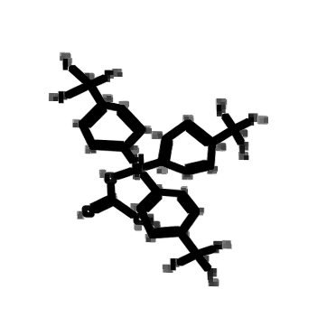 CC(=O)[O][BiH]([c]1ccc(C(F)(F)F)cc1)([c]1ccc(C(F)(F)F)cc1)[c]1ccc(C(F)(F)F)cc1